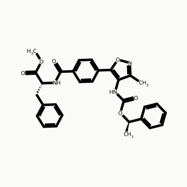 COC(=O)[C@@H](Cc1ccccc1)NC(=O)c1ccc(-c2onc(C)c2NC(=O)O[C@H](C)c2ccccc2)cc1